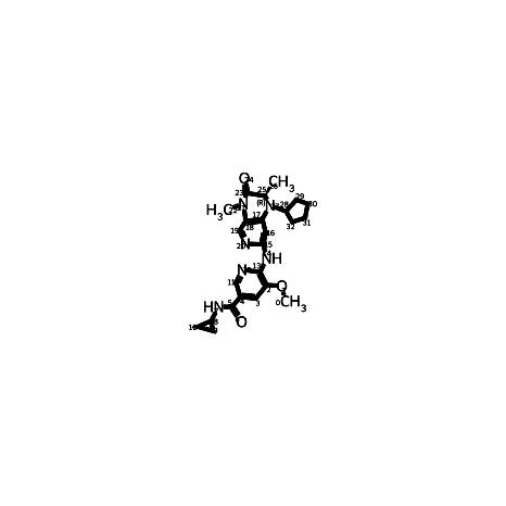 COc1cc(C(=O)NC2CC2)cnc1Nc1cc2c(cn1)N(C)C(=O)[C@@H](C)N2C1CCCC1